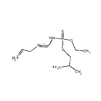 C=CC/N=C/NP(=S)(OCC)SCC(C)C